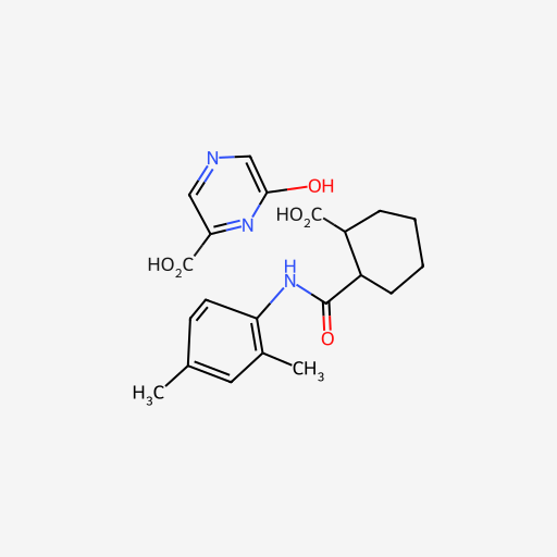 Cc1ccc(NC(=O)C2CCCCC2C(=O)O)c(C)c1.O=C(O)c1cncc(O)n1